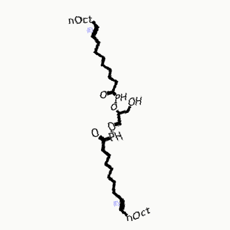 CCCCCCCC/C=C/CCCCCCCC(=O)POCC(CO)OPC(=O)CCCCCCC/C=C/CCCCCCCC